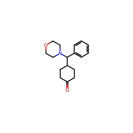 O=C1CCC(C(c2ccccc2)N2CCOCC2)CC1